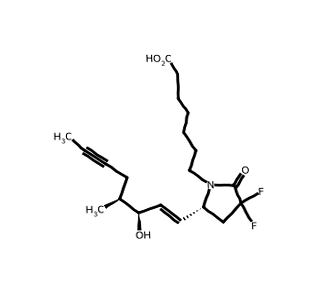 CC#CC[C@H](C)[C@H](O)/C=C/[C@H]1CC(F)(F)C(=O)N1CCCCCCC(=O)O